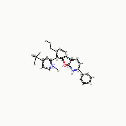 CCCc1ccc2c(oc3nc(-c4ccccc4)ccc32)c1-c1cc(C(C)(C)C)cc[n+]1C